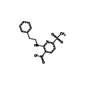 CS(=O)(=O)c1ccc([N+](=O)[O-])c(NCCc2ccccc2)n1